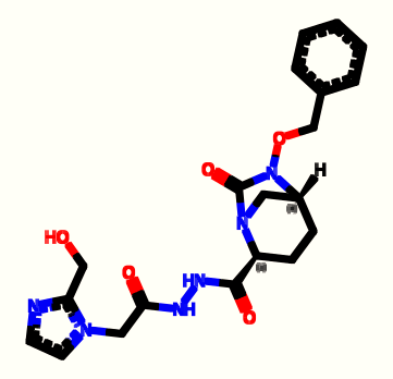 O=C(Cn1ccnc1CO)NNC(=O)[C@@H]1CC[C@@H]2CN1C(=O)N2OCc1ccccc1